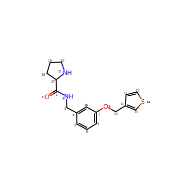 O=C(NCc1cccc(OCc2ccsc2)c1)C1CCCN1